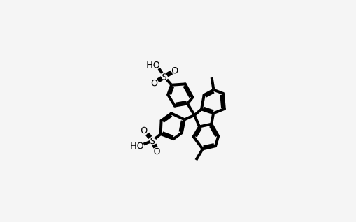 Cc1ccc2c(c1)C(c1ccc(S(=O)(=O)O)cc1)(c1ccc(S(=O)(=O)O)cc1)c1cc(C)ccc1-2